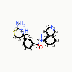 CC1(c2cccc(C(=O)Nc3cccc4cnccc34)c2)CCSC(N)N1